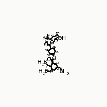 BCc1cc(CB)c(CB)c(C(=O)Oc2ccc(C(=O)OC(CS(=O)(=O)O)C(F)(F)F)cc2)c1